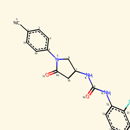 N#Cc1ccc(N2CC(NC(=O)Nc3ccccc3F)CC2=O)cc1